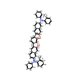 FC(F)(F)c1ccccc1N(c1ccccc1)c1ccc2cc3c(cc2c1)oc1c3ccc2c3cc4ccc(N(c5ccccc5)c5ccccc5C(F)(F)F)cc4cc3oc21